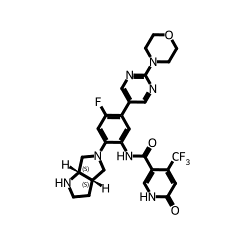 O=C(Nc1cc(-c2cnc(N3CCOCC3)nc2)c(F)cc1N1C[C@@H]2CCN[C@@H]2C1)c1c[nH]c(=O)cc1C(F)(F)F